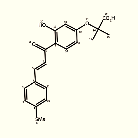 CSc1ccc(C=CC(=O)c2ccc(OC(C)(C)C(=O)O)cc2O)cc1